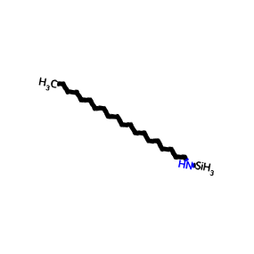 CCCCCCCCCCCCCCCCCCCCN[SiH3]